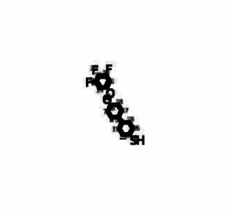 Fc1cc(OOC2CCC(C3CCC(S)CC3)CC2)cc(F)c1F